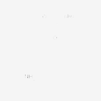 CCCCC(=O)OCCCN